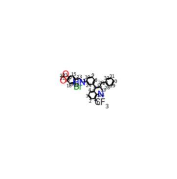 FC(F)(F)c1cccc2c(-c3cccc(NCc4cc5c(cc4Br)OCO5)c3)c(Cc3ccccc3)cnc12